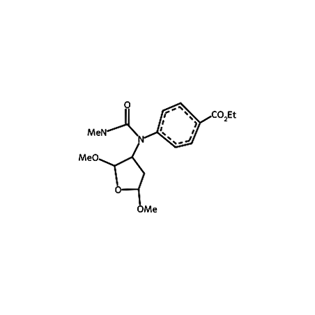 CCOC(=O)c1ccc(N(C(=O)NC)C2CC(OC)OC2OC)cc1